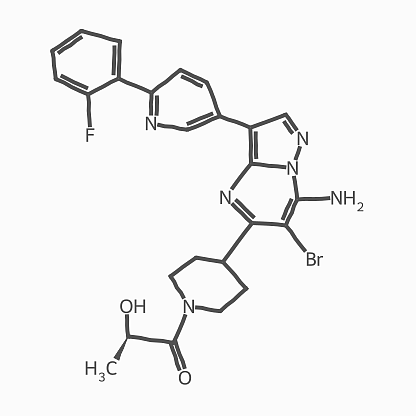 C[C@@H](O)C(=O)N1CCC(c2nc3c(-c4ccc(-c5ccccc5F)nc4)cnn3c(N)c2Br)CC1